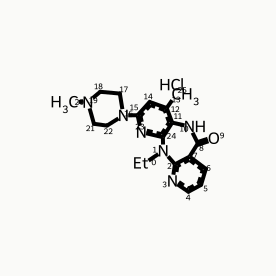 CCN1c2ncccc2C(=O)Nc2c(C)cc(N3CCN(C)CC3)nc21.Cl